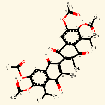 CC(=O)Oc1cc2c(c(C(C)C)c1OC(C)=O)C(=O)C(C)=C(C1=C(C)C(=O)c3c(cc(OC(C)=O)c(OC(C)=O)c3C(C)C)C1=O)C2=O